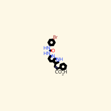 O=C(Nc1ccc(Br)cc1)Nc1ccc2c(/C=C(/C(=O)O)c3ccccc3)c[nH]c2n1